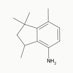 Cc1ccc(N)c2c1C(C)(C)CC2C